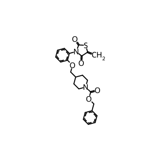 C=C1SC(=O)N(c2ccccc2OCC2CCN(C(=O)OCc3ccccc3)CC2)C1=O